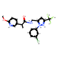 COc1ccc(C(C)C(=O)NCc2cc(C(F)(F)F)nn2-c2cccc(Cl)c2)cn1